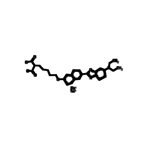 CCN(CC)c1ccc2nc(-c3ccc4cc(OCCCCCC(C(=O)[O-])C(=O)[O-])ccc4c3)oc2c1.[Na+].[Na+]